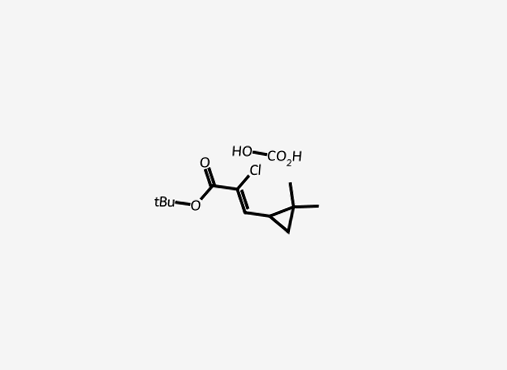 CC(C)(C)OC(=O)C(Cl)=CC1CC1(C)C.O=C(O)O